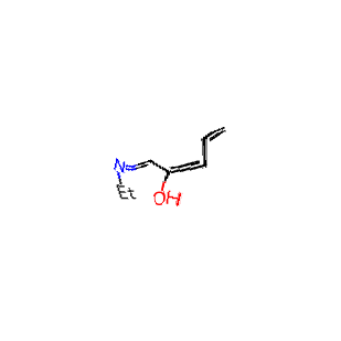 C=C/C=C(O)\C=N/CC